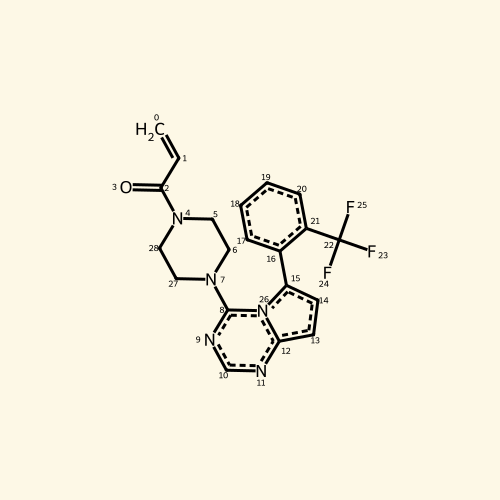 C=CC(=O)N1CCN(c2ncnc3ccc(-c4ccccc4C(F)(F)F)n23)CC1